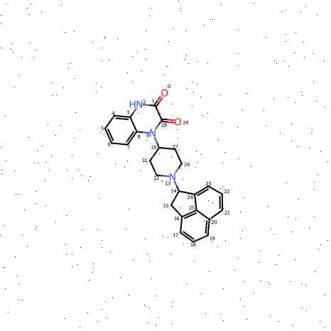 O=c1[nH]c2ccccc2n(C2CCN(C3Cc4cccc5cccc3c45)CC2)c1=O